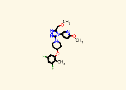 COCc1nnc(N2CCC(Oc3cc(F)cc(F)c3C)CC2)n1-c1ccc(OC)nc1